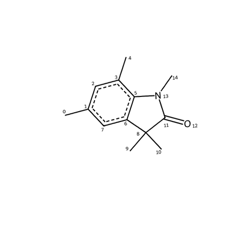 Cc1cc(C)c2c(c1)C(C)(C)C(=O)N2C